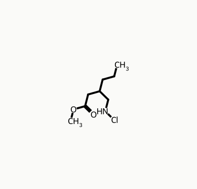 CCCC(CNCl)CC(=O)OC